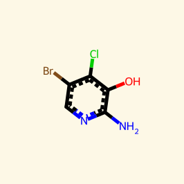 Nc1ncc(Br)c(Cl)c1O